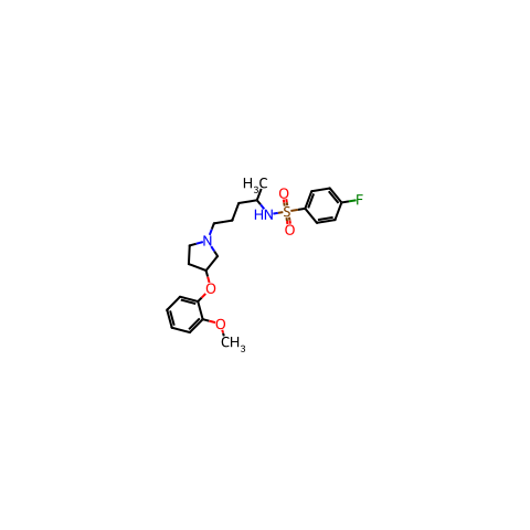 COc1ccccc1OC1CCN(CCCC(C)NS(=O)(=O)c2ccc(F)cc2)C1